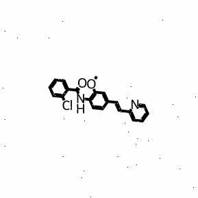 COc1cc(/C=C/c2ccccn2)ccc1NC(=O)c1ccccc1Cl